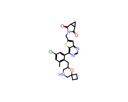 Cc1cc(Cl)cc(-c2ncnc3cc(CN4C(=O)C5CC5C4=O)sc23)c1CC1CNCC2(CCC2)O1